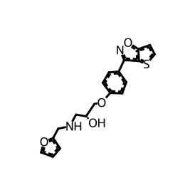 O[C@H](CNCc1ccco1)COc1ccc(-c2noc3ccsc23)cc1